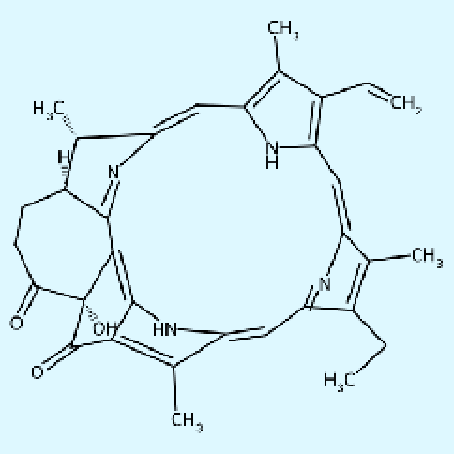 C=Cc1c(C)c2cc3nc4c5c6[nH]c(cc7nc(cc1[nH]2)C(C)=C7CC)c(C)c6C(=O)[C@@]5(O)C(=O)CC[C@H]4[C@@H]3C